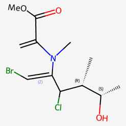 C=C(C(=O)OC)N(C)/C(=C\Br)C(Cl)[C@H](C)[C@H](C)O